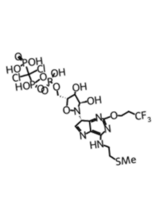 CSCCNc1nc(OCCC(F)(F)F)nc2c1N=C[C@@H]2N1O[C@H](COP(=O)(O)OP(=O)(O)C(Cl)(Cl)P(=O)(O)O)[C@@H](O)[C@H]1O